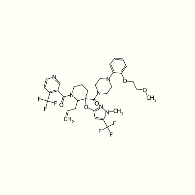 C=CCC1N(C(=O)c2cnccc2C(F)(F)F)CCCC1(Oc1cc(C(F)(F)F)n(C)n1)C(=O)N1CCN(c2ccccc2OCCOC)CC1